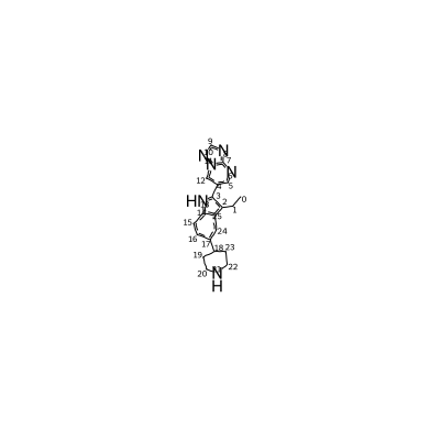 CCc1c(-c2cnc3ncnn3c2)[nH]c2ccc(C3CCNCC3)cc12